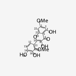 COc1cc(O)c2c(=O)c(O)c(-c3ccc(O)c(O)c3OC)oc2c1